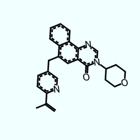 C=C(C)c1ccc(Cc2cc3c(=O)n(C4CCOCC4)cnc3c3ccccc23)cn1